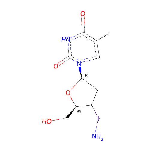 Cc1cn([C@H]2CC([I]N)[C@@H](CO)O2)c(=O)[nH]c1=O